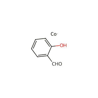 O=Cc1ccccc1O.[Co]